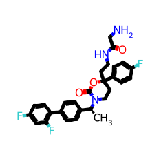 C[C@@H](c1ccc(-c2ccc(F)cc2F)cc1)N1CCC(CCNC(=O)CN)(c2ccc(F)cc2)OC1=O